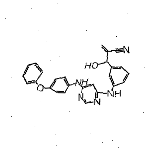 C=C(C#N)C(O)c1cccc(Nc2cc(Nc3ccc(Oc4ccccc4)cc3)ncn2)c1